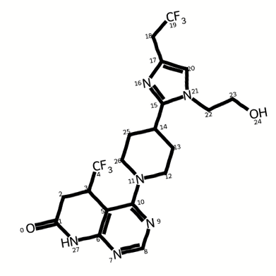 O=C1CC(C(F)(F)F)c2c(ncnc2N2CCC(c3nc(CC(F)(F)F)cn3CCO)CC2)N1